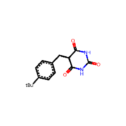 CC(C)(C)c1ccc(CC2C(=O)NC(=O)NC2=O)cc1